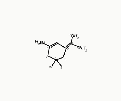 CC1(C)CC(N)=CC(=C(N)N)C1